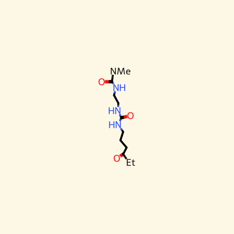 CCC(=O)CCCNC(=O)NCCNC(=O)NC